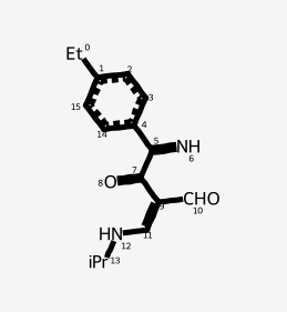 CCc1ccc(C(=N)C(=O)/C(C=O)=C\NC(C)C)cc1